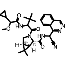 COC(C(=O)NC(C(=O)N1C[C@H]2[C@@H]([C@H]1C(=O)NC(C#N)c1nncc3ccccc13)C2(C)C)C(C)(C)C)C1CC1